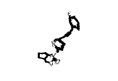 O=C1OCC2CCCC2N1c1ccc(C#Cc2cccc(F)c2)cn1